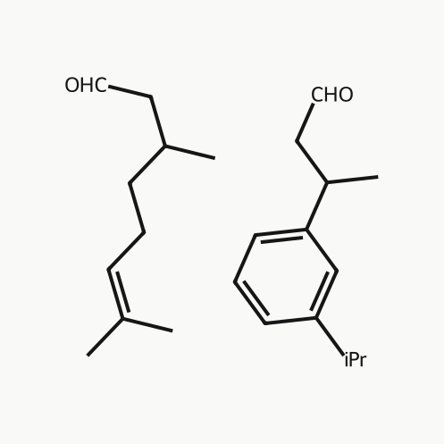 CC(C)=CCCC(C)CC=O.CC(C)c1cccc(C(C)CC=O)c1